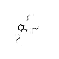 NCCNOC(=O)c1c(ONCCN)cccc1ONCCN